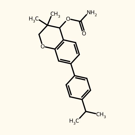 CC(C)c1ccc(-c2ccc3c(c2)OCC(C)(C)C3OC(N)=O)cc1